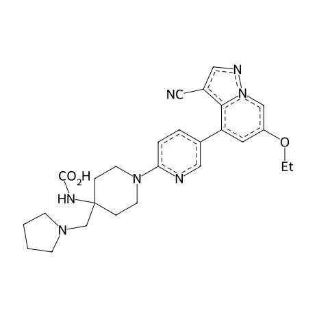 CCOc1cc(-c2ccc(N3CCC(CN4CCCC4)(NC(=O)O)CC3)nc2)c2c(C#N)cnn2c1